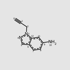 C#CCn1ncc2ccc(N)cc21